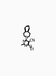 CCOc1nc(C)nc(N2CCc3ccccc3CC2)c1C#N